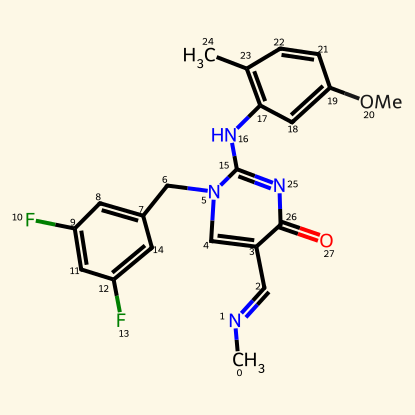 C/N=C/c1cn(Cc2cc(F)cc(F)c2)c(Nc2cc(OC)ccc2C)nc1=O